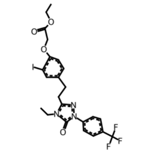 CCOC(=O)COc1ccc(CCc2nn(-c3ccc(C(F)(F)F)cc3)c(=O)n2CC)cc1I